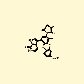 COc1ccc(Oc2cc(C)c(N3C(=O)CC(C)C3=O)cc2-c2cn(C)c3c(=O)[nH]ccc23)c(Cl)c1